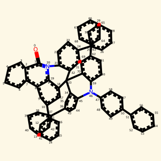 O=c1c2ccccc2c2cc(-c3ccccc3)cc3c2n1-c1ccc(-c2ccccc2)cc1C31c2cc(-c3ccccc3)ccc2N(c2ccc(-c3ccccc3)cc2)c2ccc(-c3ccccc3)cc21